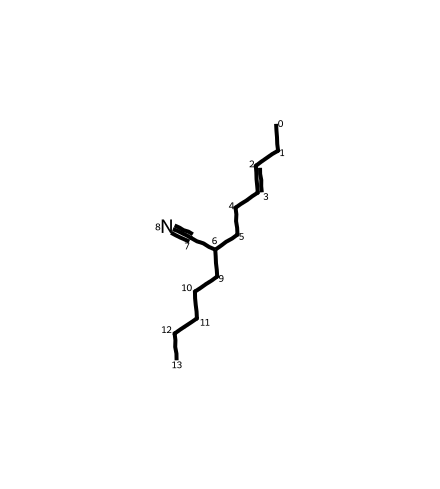 CCC=CCCC(C#N)CCCCC